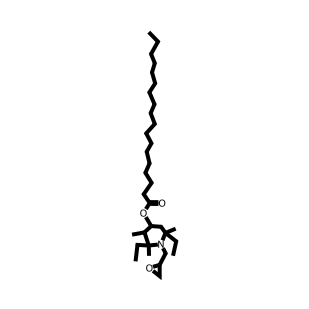 CCCCCCCCCCCCCCCCCC(=O)OC1CC(C)(CC)N(CC2CO2)C(C)(CC)C1C